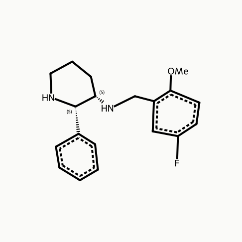 COc1ccc(F)cc1CN[C@H]1CCCN[C@H]1c1ccccc1